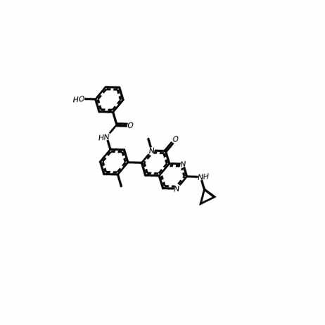 Cc1ccc(NC(=O)c2cccc(O)c2)cc1-c1cc2cnc(NC3CC3)nc2c(=O)n1C